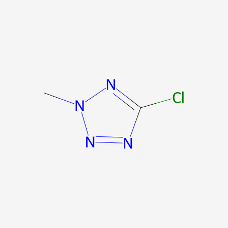 Cn1nnc(Cl)n1